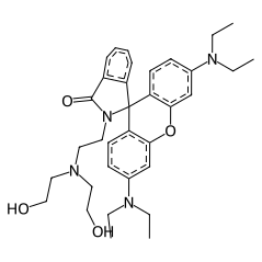 CCN(CC)c1ccc2c(c1)Oc1cc(N(CC)CC)ccc1C21c2ccccc2C(=O)N1CCN(CCO)CCO